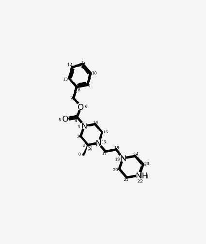 C[C@H]1CN(C(=O)OCc2ccccc2)CCN1CCN1CCNCC1